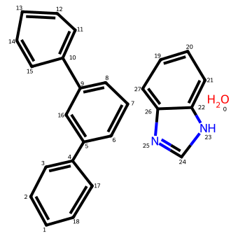 O.c1ccc(-c2cccc(-c3ccccc3)c2)cc1.c1ccc2[nH]cnc2c1